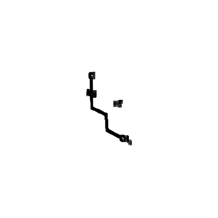 CCC[CH2][Mg][Cl].[Hf]